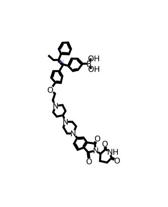 CC/C(=C(\c1ccc(OCCN2CCC(N3CCN(c4ccc5c(c4)C(=O)N(C4CCC(=O)NC4=O)C5=O)CC3)CC2)cc1)c1ccc(B(O)O)cc1)c1ccccc1